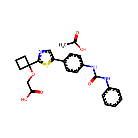 CC(=O)O.O=C(O)COC1(c2ncc(-c3ccc(NC(=O)Nc4ccccc4)cc3)s2)CCC1